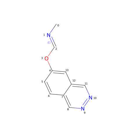 C/N=C/Oc1ccc2cnncc2c1